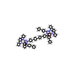 c1ccc(-c2ccc(-c3ccc(-n4c5ccccc5c5ccc6c7ccccc7n(-c7nc(-c8ccccc8)nc(-c8ccc(-c9ccc(-c%10ccc(-c%11ccc(-c%12ccc(-n%13c%14ccccc%14c%14ccc%15c%16ccccc%16n(-c%16nc(-c%17ccc(-c%18ccccc%18)cc%17)nc(-c%17ccc(-c%18ccccc%18)cc%17)n%16)c%15c%14%13)cc%12)cc%11)cc%10)cc9)cc8)n7)c6c54)cc3)cc2)cc1